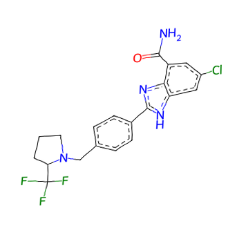 NC(=O)c1cc(Cl)cc2[nH]c(-c3ccc(CN4CCCC4C(F)(F)F)cc3)nc12